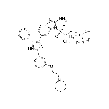 CC(C)S(=O)(=O)n1c(N)nc2ccc(-c3nc(-c4cccc(OCCN5CCCCC5)c4)[nH]c3-c3ccccc3)cc21.O=C(O)C(F)(F)F